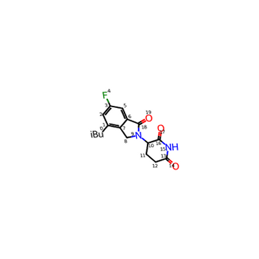 CCC(C)c1cc(F)cc2c1CN(C1CCC(=O)NC1=O)C2=O